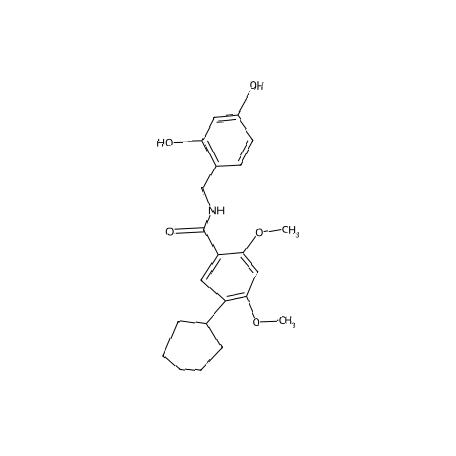 COc1cc(OC)c(C2CCCCC2)cc1C(=O)NCc1ccc(O)cc1O